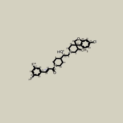 CC1CN(C[C@@H](O)C2CCN(C(=O)/C=C/c3cc(F)cc(F)c3)CC2)CCC12COc1cc(Cl)ccc12